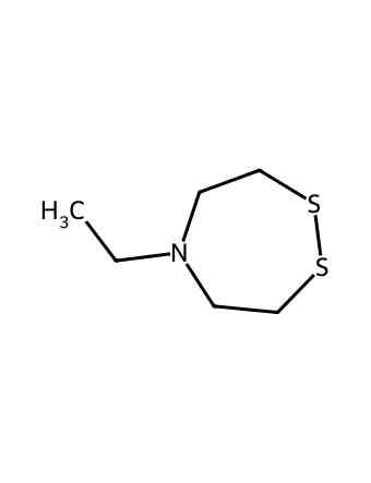 CCN1CCSSCC1